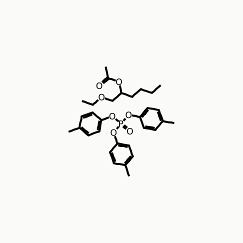 CCCCC(COCC)OC(C)=O.Cc1ccc(OP(=O)(Oc2ccc(C)cc2)Oc2ccc(C)cc2)cc1